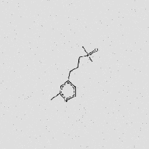 Cc1cc(CCCP(C)(C)=O)ccn1